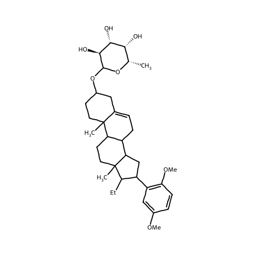 CCC1C(c2cc(OC)ccc2OC)CC2C3CC=C4CC(OC5O[C@@H](C)[C@@H](O)[C@@H](O)[C@@H]5O)CCC4(C)C3CCC12C